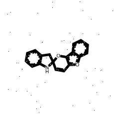 C1=CC2(Cc3ccccc3N2)Oc2c1oc1ccccc21